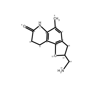 Cc1cc2c(c3c1NC(=O)CC3)OC(CN)C2